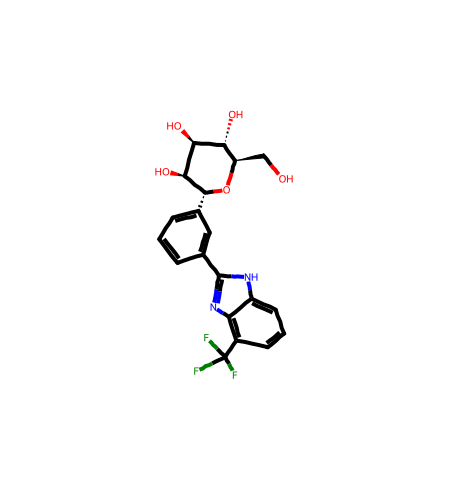 OC[C@H]1O[C@H](c2cccc(-c3nc4c(C(F)(F)F)cccc4[nH]3)c2)[C@@H](O)[C@@H](O)[C@@H]1O